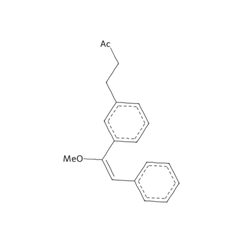 COC(=Cc1ccccc1)c1cccc(CCC(C)=O)c1